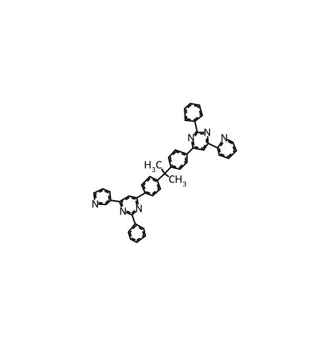 CC(C)(c1ccc(-c2cc(-c3cccnc3)nc(-c3ccccc3)n2)cc1)c1ccc(-c2cc(-c3ccccn3)nc(-c3ccccc3)n2)cc1